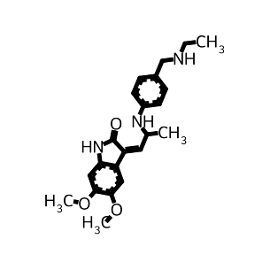 CCNCc1ccc(NC(C)C=C2C(=O)Nc3cc(OC)c(OC)cc32)cc1